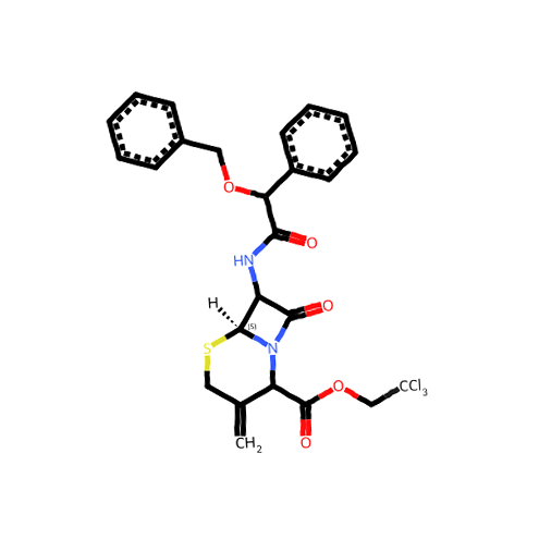 C=C1CS[C@H]2C(NC(=O)C(OCc3ccccc3)c3ccccc3)C(=O)N2C1C(=O)OCC(Cl)(Cl)Cl